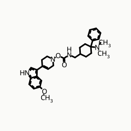 COc1ccc2[nH]cc(C3=CCN(OC(=O)NCC4CCC(c5ccccc5)(N(C)C)CC4)CC3)c2c1